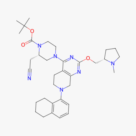 CN1CCC[C@H]1COc1nc2c(c(N3CCN(C(=O)OC(C)(C)C)[C@@H](CC#N)C3)n1)CCN(c1cccc3c1CCCC3)C2